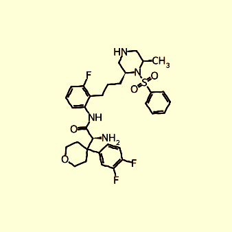 C[C@@H]1CNC[C@H](CCCc2c(F)cccc2NC(=O)[C@@H](N)C2(c3ccc(F)c(F)c3)CCOCC2)N1S(=O)(=O)c1ccccc1